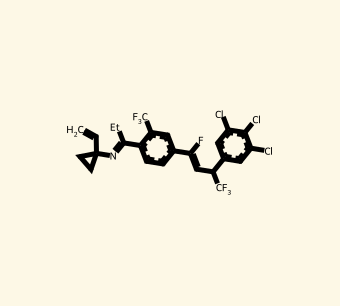 C=CC1(/N=C(\CC)c2ccc(/C(F)=C/C(c3cc(Cl)c(Cl)c(Cl)c3)C(F)(F)F)cc2C(F)(F)F)CC1